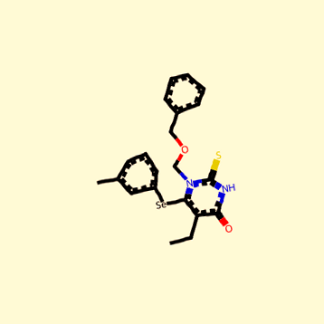 CCc1c([Se]c2cccc(C)c2)n(COCc2ccccc2)c(=S)[nH]c1=O